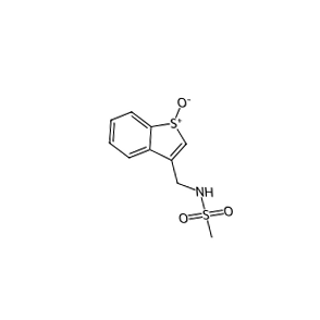 CS(=O)(=O)NCc1c[s+]([O-])c2ccccc12